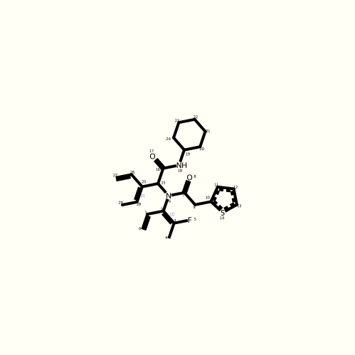 C=C/C(=C(\C)F)N(C(=O)Cc1cccs1)C(C(=O)NC1CCCCC1)/C(C=C)=C/C